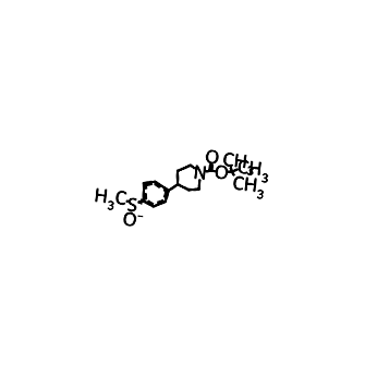 C[S+]([O-])c1ccc(C2CCN(C(=O)OC(C)(C)C)CC2)cc1